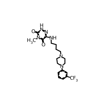 Cn1c(=O)[nH]nc(NCCCCN2CCN(c3cccc(C(F)(F)F)c3)CC2)c1=O